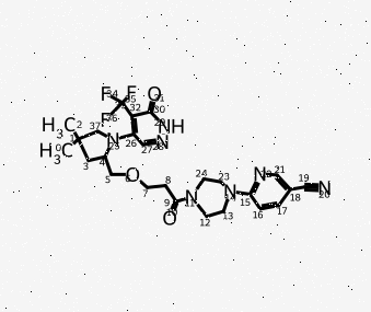 CC1(C)CC(COCCC(=O)N2CCN(c3ccc(C#N)cn3)CC2)N(c2cn[nH]c(=O)c2C(F)(F)F)C1